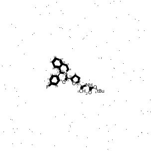 C=C(NC(=O)OC(C)(C)C)[C@H]1CC[C@H](C(=O)N2CCc3ccccc3[C@@H]2c2ccc(F)cc2)O1